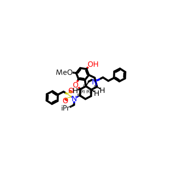 COc1cc(O)c2c3c1O[C@H]1[C@H](N(CC(C)C)S(=O)(=O)Cc4ccccc4)CC[C@H]4[C@@H](C2)N(CCc2ccccc2)CC[C@@]341